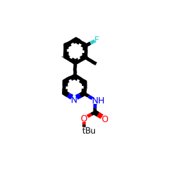 Cc1c(-c2ccnc(NC(=O)OC(C)(C)C)c2)[c]ccc1F